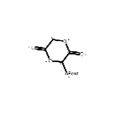 CCCCCC1OC(=O)COC1=O